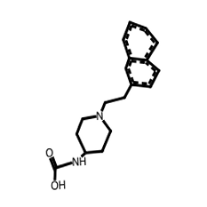 O=C(O)NC1CCN(CCc2ccc3ccccc3c2)CC1